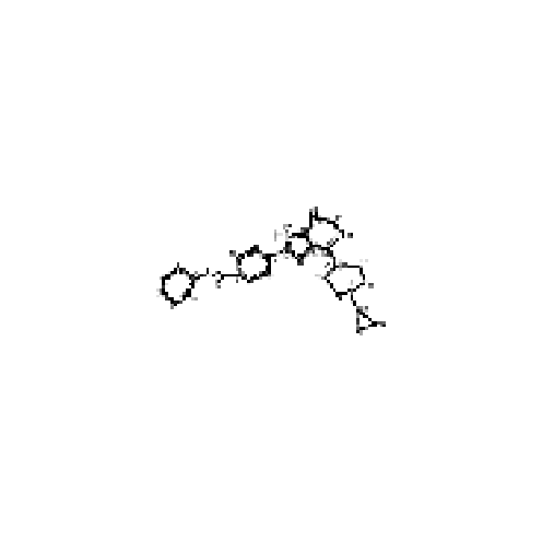 c1ccc(COc2ccc(-c3cc4c(N5CCN(C6CC6)CC5)ncnc4[nH]3)cc2)cc1